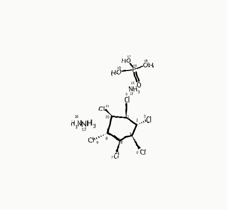 Cl[C@H]1[C@H](Cl)[C@@H](Cl)[C@@H](Cl)[C@H](Cl)[C@H]1Cl.N.N.N.O=P(O)(O)O